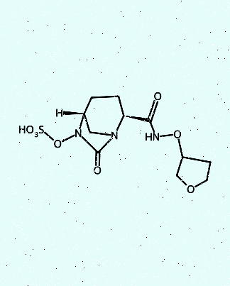 O=C(NOC1CCOC1)[C@@H]1CC[C@@H]2CN1C(=O)N2OS(=O)(=O)O